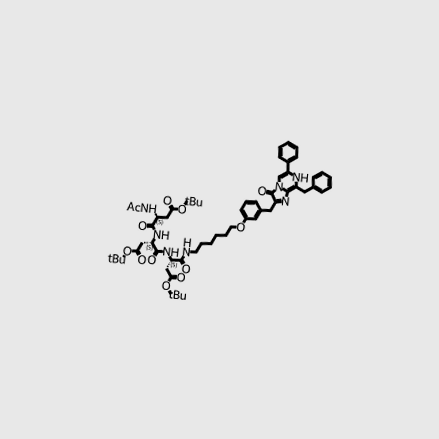 CC(=O)N[C@@H](CC(=O)OC(C)(C)C)C(=O)N[C@@H](CC(=O)OC(C)(C)C)C(=O)N[C@@H](CC(=O)OC(C)(C)C)C(=O)NCCCCCCOc1cccc(Cc2nc3c(Cc4ccccc4)[nH]c(-c4ccccc4)cn-3c2=O)c1